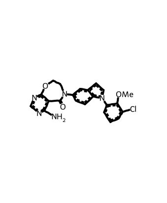 COc1c(Cl)cccc1-n1ccc2cc(N3CCOc4ncnc(N)c4C3=O)ccc21